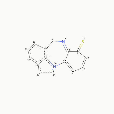 S=C1C=CC=C2C1=NCc1cccc3ccn2c13